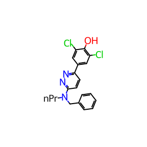 CCCN(Cc1ccccc1)c1ccc(-c2cc(Cl)c(O)c(Cl)c2)nn1